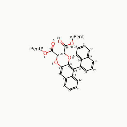 CCCC(C)OC(=O)COc1cc2ccccc2c(-c2cccc3ccccc23)c1OCC(=O)OC(C)CCC